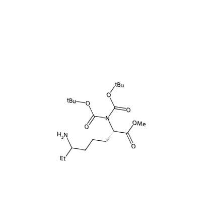 CCC(N)CCC[C@@H](C(=O)OC)N(C(=O)OC(C)(C)C)C(=O)OC(C)(C)C